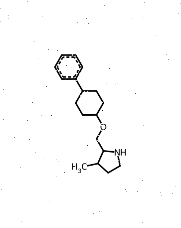 CC1CCNC1COC1CCC(c2ccccc2)CC1